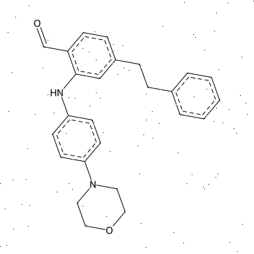 O=Cc1ccc(CCc2ccccc2)cc1Nc1ccc(N2CCOCC2)cc1